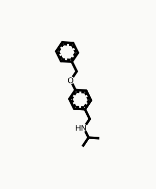 CC(C)NCc1ccc(OCc2ccccc2)cc1